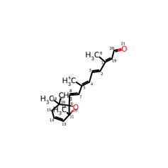 CC(/C=C/C=C(C)/C=C/C12OC1(C)C=CCC2(C)C)=C\C=O